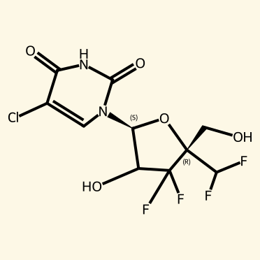 O=c1[nH]c(=O)n([C@H]2O[C@](CO)(C(F)F)C(F)(F)C2O)cc1Cl